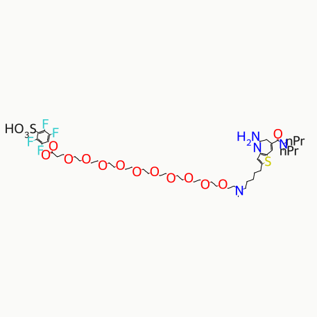 CCCN(CCC)C(=O)C1=Cc2sc(CCCCCN(C)CCOCCOCCOCCOCCOCCOCCOCCOCCOCCOCCC(=O)Oc3c(F)c(F)c(S(=O)(=O)O)c(F)c3F)cc2N=C(N)C1